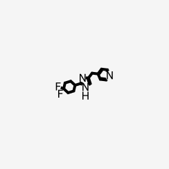 FC1(F)CCC(c2nc(Cc3ccncc3)c[nH]2)CC1